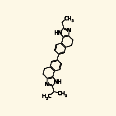 CCc1nc2c([nH]1)-c1ccc(-c3ccc4c(c3)CCc3nc(C(C)C)[nH]c3-4)cc1CC2